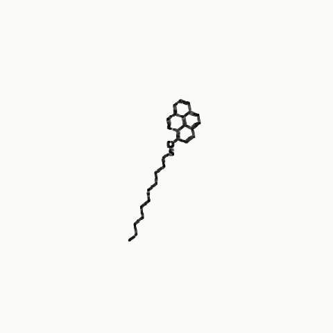 CCCCCCCCCCCSOc1ccc2ccc3cccc4ccc1c2c34